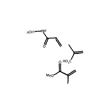 C=C(C)C(=O)O.C=C(C)C(=O)OC.C=CC(=O)NCCCCCCCC